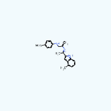 C=C(CNc1ccc(SC)cc1)/N=C(\C)c1cc2c(C)cccc2[nH]1